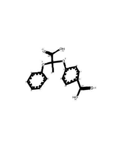 CC(Oc1ccccc1)(Oc1ccc(C(=O)O)cc1)C(=O)O